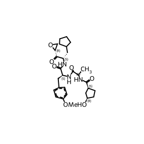 COc1ccc(C[C@H](NC(=O)[C@@H](C)NC(=O)[C@H]2CC[C@@H](O)C2)C(=O)N[C@@H](CC2CCCC2)C(=O)[C@H]2CO2)cc1